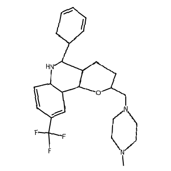 CN1CCN(CC2CCC3C(C4C=CC=CC4)NC4C=CC(C(F)(F)F)=CC4C3O2)CC1